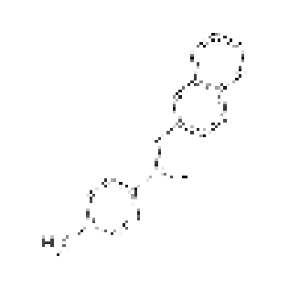 Cc1ccc(/C(F)=C/c2ccc3ccccc3c2)cc1